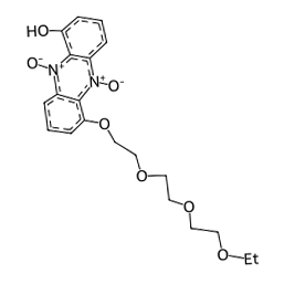 CCOCCOCCOCCOc1cccc2c1[n+]([O-])c1cccc(O)c1[n+]2[O-]